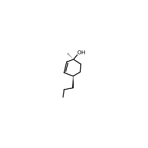 CCC[C@H]1C=C[C@@](C)(O)CC1